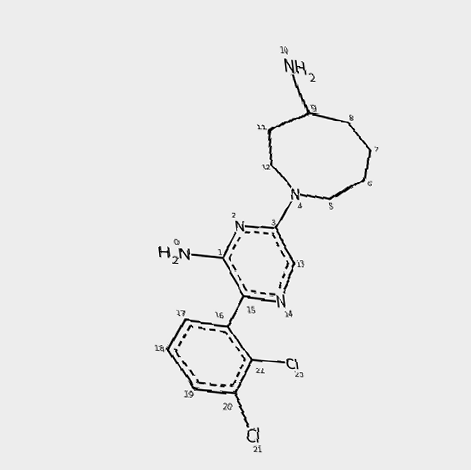 Nc1nc(N2CCCCC(N)CC2)cnc1-c1cccc(Cl)c1Cl